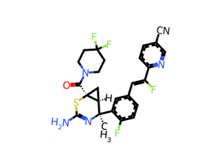 C[C@]1(c2cc(/C=C(\F)c3ccc(C#N)cn3)ccc2F)N=C(N)S[C@@]2(C(=O)N3CCC(F)(F)CC3)C[C@H]21